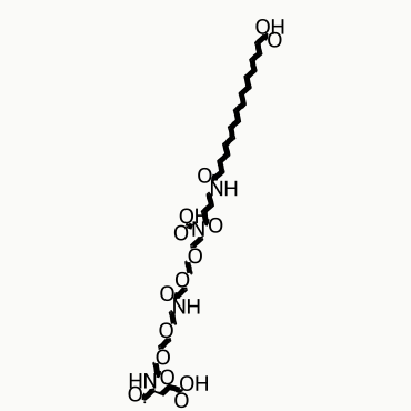 O=[C][C@H](CCC(=O)O)NC(=O)COCCOCCNC(=O)COCCOCCN(C(=O)O)C(=O)CCCNC(=O)CCCCCCCCCCCCCCCCC(=O)O